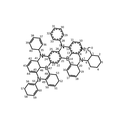 CC1CCCCC1N1c2cccc3c2B(C2=CC=CCC21)c1cc2c(cc1N3c1ccccc1)N(C1C=CC=CC1)C1C=CC=C3C1B2C1=C(C=CCC1)N3C1=CCCC=C1